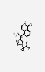 Cn1ccc2c([C@H](N)c3cn(C4(C(F)F)CC4)nn3)cccc2c1=O